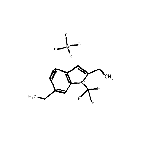 CCc1ccc2cc(CC)[s+](C(F)(F)F)c2c1.F[B-](F)(F)F